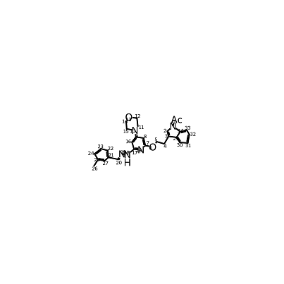 CC(=O)n1cc(CCOc2cc(N3CCOCC3)cc(N/N=C/c3cccc(C)c3)n2)c2ccccc21